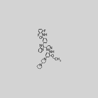 CCOc1cc(N2CCC(N3CCCCC3)CC2)ccc1Nc1nccc(-c2c(-c3cccc(C(=O)Nc4c(F)cccc4F)c3)nc3ccccn23)n1